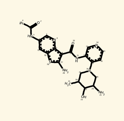 CC(C)C(=O)Nc1cnc2c(C(=O)Nc3cnccc3N3CC(C)C(O)C(N)C3)c(N)sc2c1